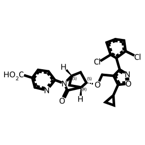 O=C(O)c1ccc(N2C(=O)[C@@H]3C[C@H]2C[C@@H]3OCc2c(-c3c(Cl)cccc3Cl)noc2C2CC2)nc1